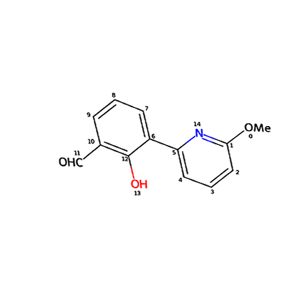 COc1cccc(-c2cccc(C=O)c2O)n1